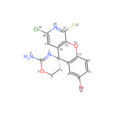 NC1=N[C@]2(CCO1)c1cc(Br)ccc1Oc1c2cc(Cl)nc1F